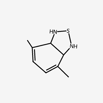 CC1=CC=C(C)C2NSNC12